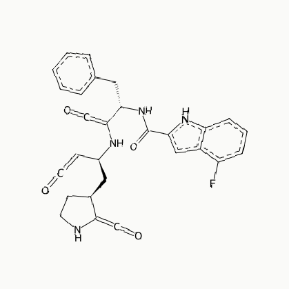 O=C=C[C@H](C[C@@H]1CCNC1=C=O)NC(=C=O)[C@H](Cc1ccccc1)NC(=O)c1cc2c(F)cccc2[nH]1